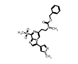 CN(CCc1cn2c(-c3cnn(C)c3)cnc2c(S(C)(=O)=O)n1)C(=O)OCc1ccccc1